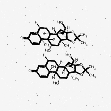 CC1(C)O[C@@H]2C[C@H]3[C@@H]4C[C@H](F)C5=CC(=O)C=C[C@]5(C)[C@@]4(F)[C@@H](O)C[C@]3(C)[C@]2(C(=O)CO)O1.CC1(C)O[C@@H]2C[C@H]3[C@@H]4C[C@H](F)C5=CC(=O)C=C[C@]5(C)[C@H]4[C@@H](O)C[C@]3(C)[C@]2(C(=O)CO)O1